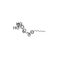 CCCCCCCCc1ccc(C(=O)/C=C/c2ccc(-c3ccc(O)c(C(=O)O)c3)o2)cc1